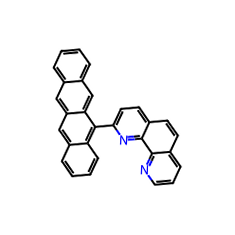 c1ccc2cc3c(-c4ccc5ccc6cccnc6c5n4)c4ccccc4cc3cc2c1